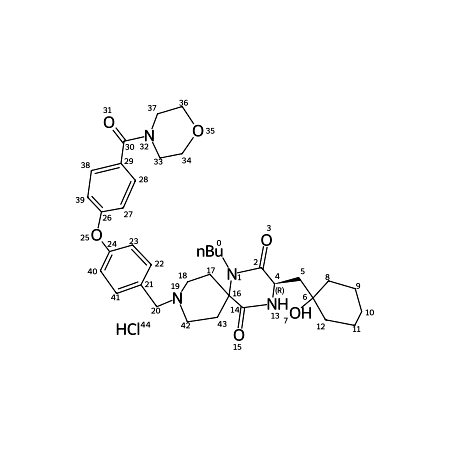 CCCCN1C(=O)[C@@H](CC2(O)CCCCC2)NC(=O)C12CCN(Cc1ccc(Oc3ccc(C(=O)N4CCOCC4)cc3)cc1)CC2.Cl